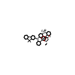 C=C[C@@H]1C[C@H]2CCC[C@@H](C1)C21c2ccccc2S(=O)(=O)c2ccc(N(c3ccc4c(c3)C(C)(C)c3ccccc3-4)c3ccccc3-c3ccccc3)cc21